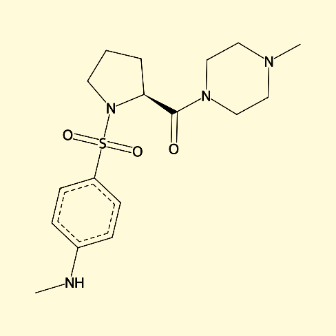 CNc1ccc(S(=O)(=O)N2CCC[C@H]2C(=O)N2CCN(C)CC2)cc1